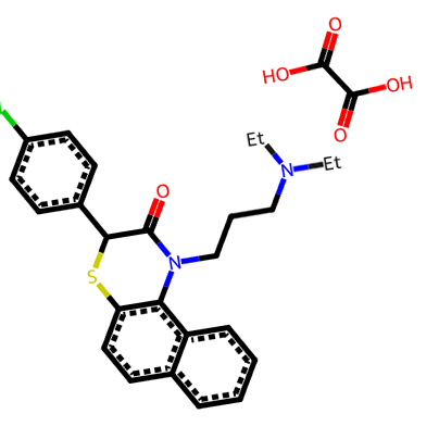 CCN(CC)CCCN1C(=O)C(c2ccc(Cl)cc2)Sc2ccc3ccccc3c21.O=C(O)C(=O)O